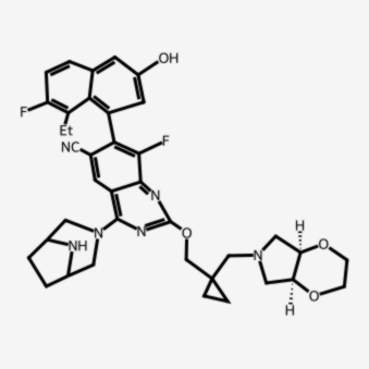 CCc1c(F)ccc2cc(O)cc(-c3c(C#N)cc4c(N5CC6CCC(C5)N6)nc(OCC5(CN6C[C@@H]7OCCO[C@@H]7C6)CC5)nc4c3F)c12